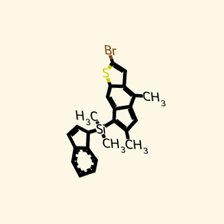 CC1=C([Si](C)(C)C2C=Cc3ccccc32)C2=CC3SC(Br)=CC3=C(C)C2=C1